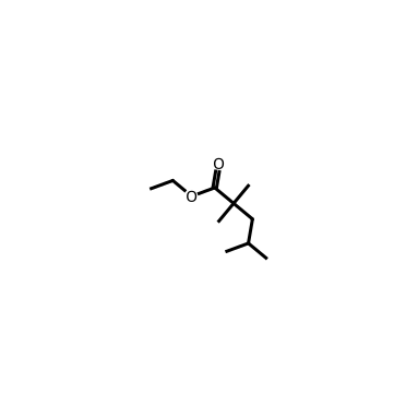 CCOC(=O)C(C)(C)CC(C)C